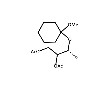 COC1(O[C@H](C)C(COC(C)=O)OC(C)=O)CCCCC1